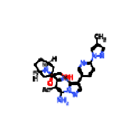 CC(=O)c1c(C2C[C@H]3CC[C@@H](C2)N3C(=O)CO)nc2c(-c3ccc(-n4cc(C)cn4)nc3)cnn2c1N